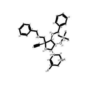 C#C[C@]1(COCc2ccccc2)O[C@@H](N2C=C(F)CNC2)[C@@H](O[Si](C)(C)C)[C@@H]1OCc1ccccc1